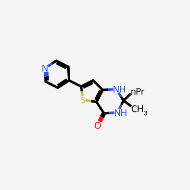 CCCC1(C)NC(=O)c2sc(-c3ccncc3)cc2N1